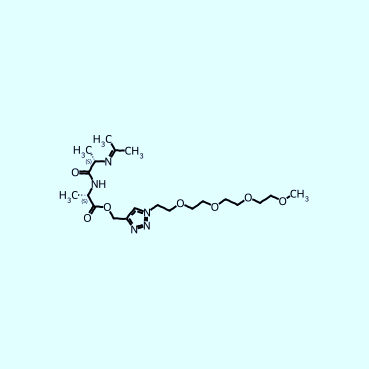 COCCOCCOCCOCCn1cc(COC(=O)[C@H](C)NC(=O)[C@H](C)N=C(C)C)nn1